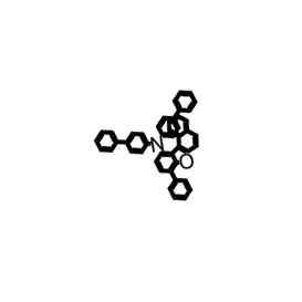 c1ccc(-c2ccc(N(c3ccc(-c4ccccc4)cc3)c3ccc(-c4ccccc4)c4oc5ccc6ccccc6c5c34)cc2)cc1